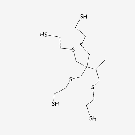 CC(CSCCS)C(CSCCS)(CSCCS)CSCCS